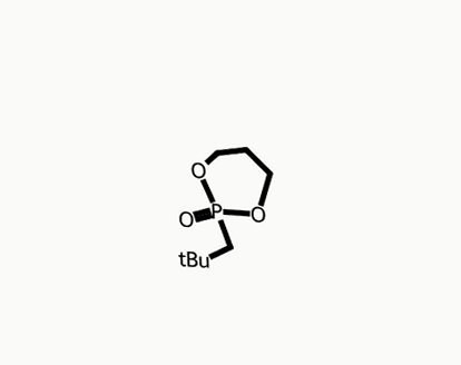 CC(C)(C)CP1(=O)OCCCO1